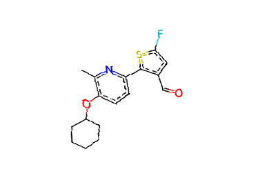 Cc1nc(-c2sc(F)cc2C=O)ccc1OC1CCCCC1